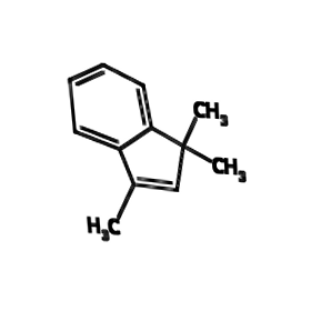 CC1=CC(C)(C)c2ccccc21